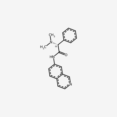 CN(C)[C@@H](C(=O)Nc1ccc2ccncc2c1)c1ccccc1